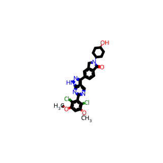 COc1cc(OC)c(Cl)c(-c2ncc3c(-c4ccc5c(c4)CN([C@H]4CC[C@H](O)CC4)C5=O)n[nH]c3n2)c1Cl